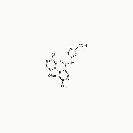 COc1cnc(Cl)cc1-c1cc(C)ncc1C(=O)Nc1ncc(C(=O)O)s1